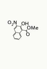 COC(=O)c1c(O)c([N+](=O)[O-])cc2ccccc12